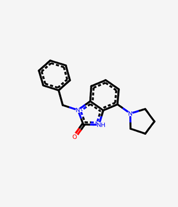 O=c1[nH]c2c(N3CCCC3)cccc2n1Cc1ccccc1